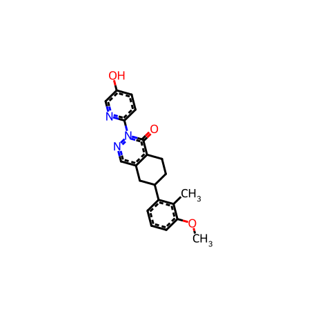 COc1cccc(C2CCc3c(cnn(-c4ccc(O)cn4)c3=O)C2)c1C